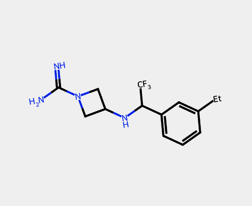 CCc1cccc(C(NC2CN(C(=N)N)C2)C(F)(F)F)c1